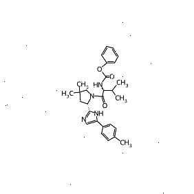 Cc1ccc(-c2cnc([C@@H]3CC(C)(C)CN3C(=O)[C@@H](NC(=O)Oc3ccccc3)C(C)C)[nH]2)cc1